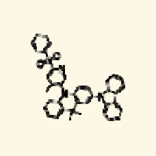 Cc1cc(S(=O)(=O)c2ccccc2)ncc1N1c2ccccc2C(C)(C)c2cc(-n3c4ccccc4c4ccccc43)ccc21